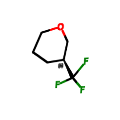 FC(F)(F)[C@H]1CCCOC1